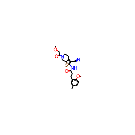 COCC(=O)N1CCc2c(sc(NC(=O)CCc3cc(C)ccc3OC)c2C#N)C1